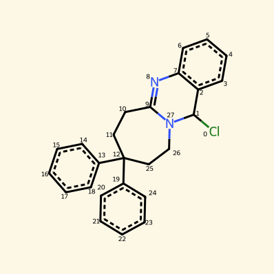 ClC1c2ccccc2N=C2CCC(c3ccccc3)(c3ccccc3)CCN21